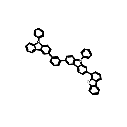 c1ccc(-n2c3ccccc3c3cc(-c4cccc(-c5ccc6c(c5)c5ccc(-c7cccc8c7oc7ccccc78)cc5n6-c5ccccc5)c4)ccc32)cc1